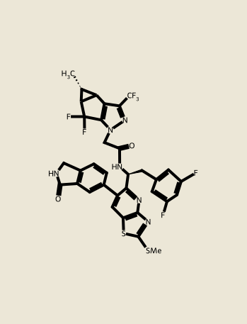 CSc1nc2nc([C@H](Cc3cc(F)cc(F)c3)NC(=O)Cn3nc(C(F)(F)F)c4c3C(F)(F)C3C4[C@H]3C)c(-c3ccc4c(c3)C(=O)NC4)cc2s1